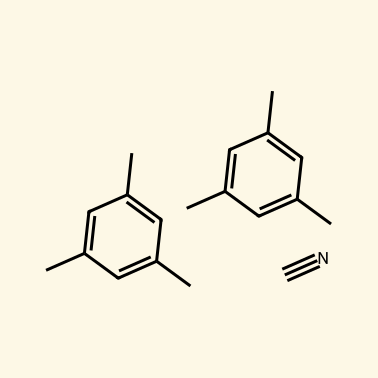 C#N.Cc1cc(C)cc(C)c1.Cc1cc(C)cc(C)c1